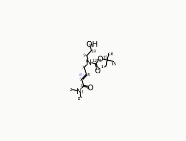 CN(C)C(=O)/C=C/CN(CCO)C(=O)OC(C)(C)C